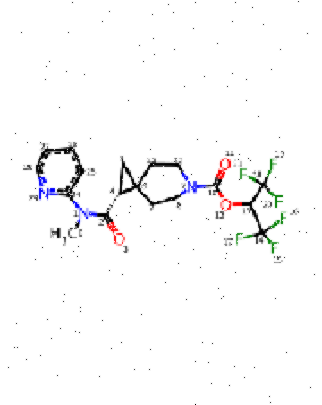 CN(C(=O)[C@@H]1CC12CCN(C(=O)OC(C(F)(F)F)C(F)(F)F)CC2)c1ccccn1